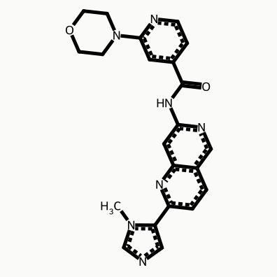 Cn1cncc1-c1ccc2cnc(NC(=O)c3ccnc(N4CCOCC4)c3)cc2n1